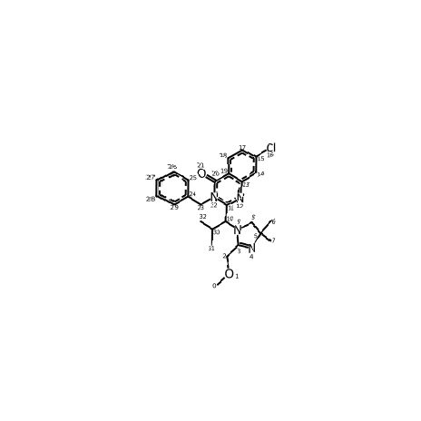 COCC1=NC(C)(C)CN1C(c1nc2cc(Cl)ccc2c(=O)n1Cc1ccccc1)C(C)C